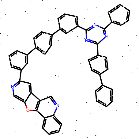 c1ccc(-c2ccc(-c3nc(-c4ccccc4)nc(-c4cccc(-c5ccc(-c6cccc(-c7cc8c(cn7)oc7c9ccccc9ncc87)c6)cc5)c4)n3)cc2)cc1